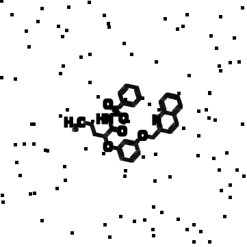 CCCC(Oc1cccc(OCc2ccc3ccccc3n2)c1)C(=O)NS(=O)(=O)c1ccccc1